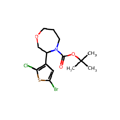 CC(C)(C)OC(=O)N1CCCOCC1c1cc(Br)sc1Cl